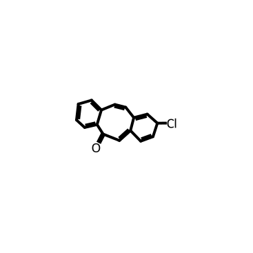 O=C1/C=C2/C=CC(Cl)C=C2/C=C\c2ccccc21